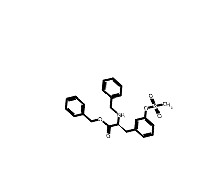 CS(=O)(=O)Oc1cccc(C[C@H](NCc2ccccc2)C(=O)OCc2ccccc2)c1